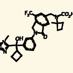 Cn1cnnc1C(O)(c1cccc(N2Cc3c(cc(CN(C(=O)O)C4(C)CCC4)cc3C(F)(F)F)C2=O)c1)C1CCC1